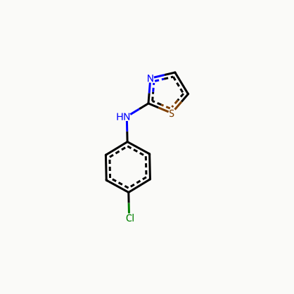 Clc1ccc(Nc2nccs2)cc1